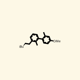 CC[C@H](C)CCc1cccc(-c2ccc(OC)cc2C)c1C